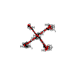 CC(=O)N[C@@H]1[C@@H](O)[C@@H](O)[C@@H](CO)O[C@H]1c1cn(CCOCCOCCOCCNC(=O)CCC(CCC(=O)NCCOCCOCCOCCn2cc([C@@H]3O[C@H](CO)[C@H](O)[C@H](O)[C@H]3NC(C)=O)nn2)(CCC(=O)NCCOCCOCCOCCn2cc([C@@H]3O[C@H](CO)[C@H](O)[C@H](O)[C@H]3NC(C)=O)nn2)NC(=O)CCCCCCCCCCC(=O)NCCN2C(=O)C=CC2=O)nn1